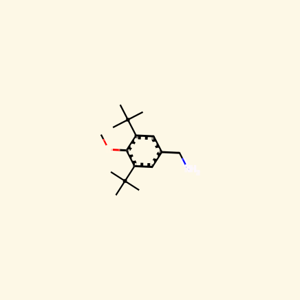 COc1c(C(C)(C)C)cc(CN)cc1C(C)(C)C